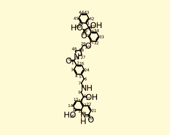 O=C(c1ccc(CCNCC(O)c2ccc(O)c3[nH]c(=O)ccc23)cc1)N1CC(COc2cccc(C(O)(C(=O)O)c3ccccc3)c2)C1